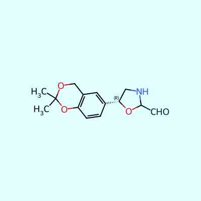 CC1(C)OCc2cc([C@@H]3CNC(C=O)O3)ccc2O1